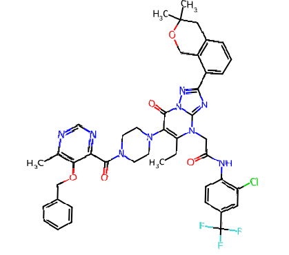 CCc1c(N2CCN(C(=O)c3ncnc(C)c3OCc3ccccc3)CC2)c(=O)n2nc(-c3cccc4c3COC(C)(C)C4)nc2n1CC(=O)Nc1ccc(C(F)(F)F)cc1Cl